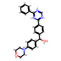 OC(c1ccc(-c2ncnc(-c3ccccc3)n2)cc1)c1ccc(N2CCOCC2)cc1